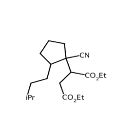 CCOC(=O)CC(C(=O)OCC)C1(C#N)CCCC1CCC(C)C